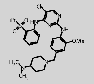 COc1cc(CN2CCC(N(C)C)CC2)ccc1Nc1ncc(Cl)c(Nc2ccccc2S(=O)(=O)C(C)C)n1